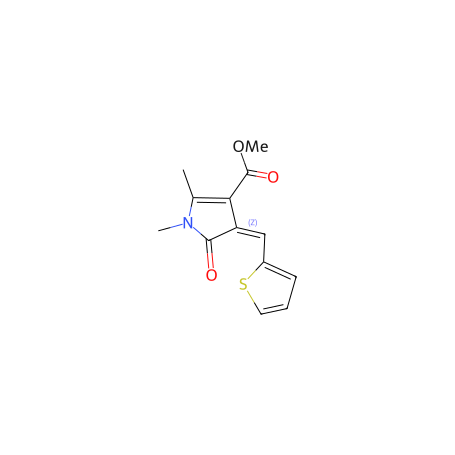 COC(=O)C1=C(C)N(C)C(=O)/C1=C\c1cccs1